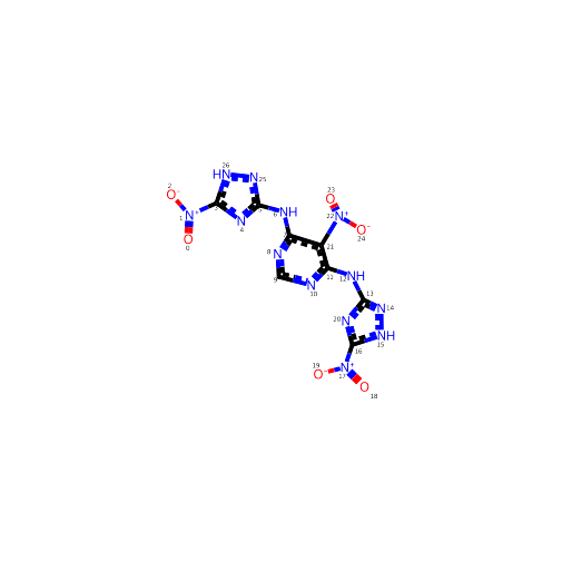 O=[N+]([O-])c1nc(Nc2ncnc(Nc3n[nH]c([N+](=O)[O-])n3)c2[N+](=O)[O-])n[nH]1